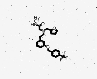 CNC(=O)CN(CCc1cccc(OCc2ccc(C(F)(F)F)cc2)c1)Cc1ccco1